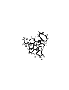 C1=CC=C(B2c3cccc4c3N3c5c(cccc5B(c5ccccc5)c5cccc2c53)B4C2=CCCC=C2)CC=C1